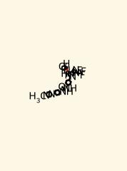 CN1CCN(c2ccc(NC(=O)Nc3ccc(-c4nc(N5C[C@@H]6C[C@H]5CO6)c5cnn(CC(F)(F)F)c5n4)cc3)cc2)CC1